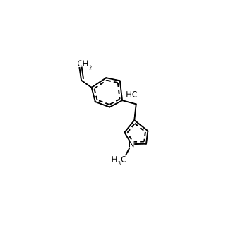 C=Cc1ccc(Cc2ccn(C)c2)cc1.Cl